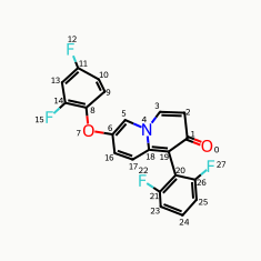 O=c1ccn2cc(Oc3ccc(F)cc3F)ccc2c1-c1c(F)cccc1F